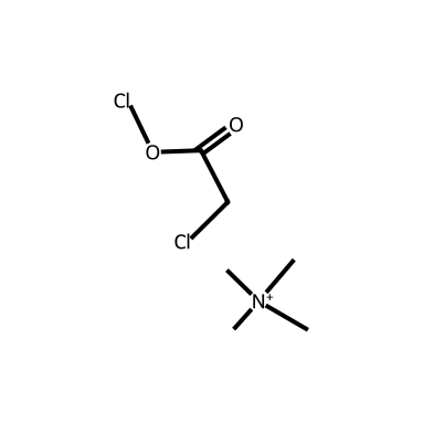 C[N+](C)(C)C.O=C(CCl)OCl